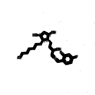 CC(=O)CCCCCC[C@@H]1[C@@H](CCC(O)C=C=Cc2ccc(F)cc2F)[C@H](O)C[C@@H]1O